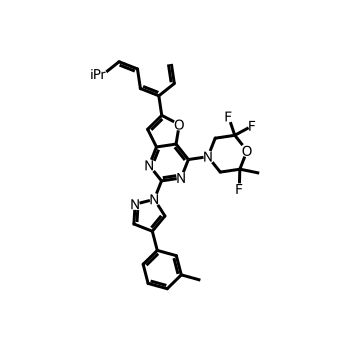 C=C/C(=C\C=C/C(C)C)c1cc2nc(-n3cc(-c4cccc(C)c4)cn3)nc(N3CC(C)(F)OC(F)(F)C3)c2o1